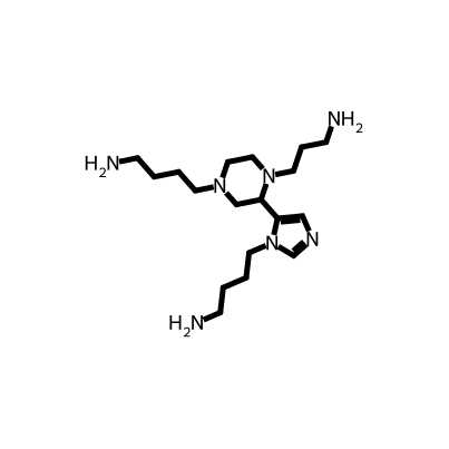 NCCCCN1CCN(CCCN)C(c2cncn2CCCCN)C1